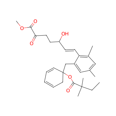 CCC(C)(C)C(=O)OC1(Cc2cc(C)cc(C)c2C=CC(O)CCC(=O)C(=O)OC)C=CC=CC1